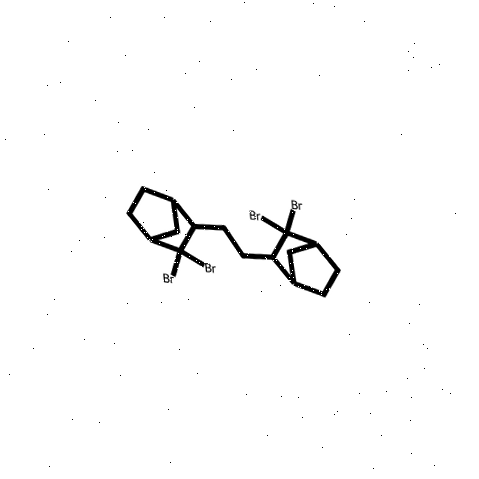 BrC1(Br)C2CCC(C2)C1CCC1C2CCC(C2)C1(Br)Br